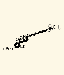 C=CC(=O)OCCCCCCCCCCOc1ccc2cc(-c3ccc(CCCCC)cc3CC)c(=O)oc2n1